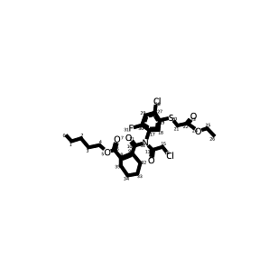 CCCCCOC(=O)C1=C(C(=O)N(C(=O)CCl)c2cc(SCC(=O)OCC)c(Cl)cc2F)CCCC1